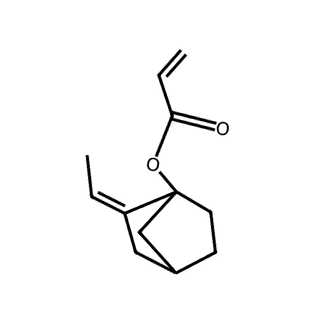 C=CC(=O)OC12CCC(CC1=CC)C2